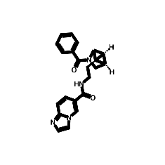 O=C(NCC[C@@]12C3[C@H]1[C@H]2CN3C(=O)c1ccccc1)c1ccc2nccn2c1